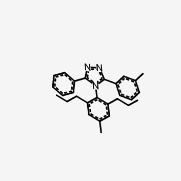 CCCc1cc(C)cc(CCC)c1-n1c(-c2ccccc2)nnc1-c1cccc(C)c1